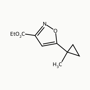 CCOC(=O)c1cc(C2(C)CC2)on1